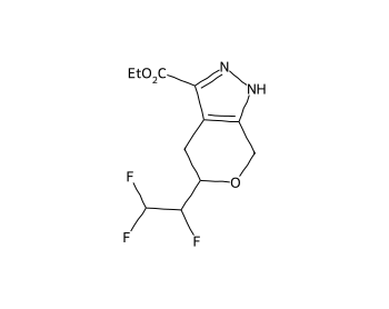 CCOC(=O)c1n[nH]c2c1CC(C(F)C(F)F)OC2